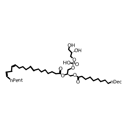 CCCCC/C=C\C/C=C\CCCCCCCCCCCC(=O)O[C@H](COC(=O)CCCCCCCCCCCCCCCCCC)COP(=O)(O)OC[C@@H](O)CO